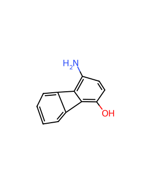 Nc1ccc(O)c2c1-c1ccccc1-2